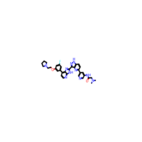 CN(C)CC(=O)Nc1cncc(-c2ccc3[nH]nc(-c4nc5c(-c6cc(F)cc(OCCN7CCCC7)c6)ccnc5[nH]4)c3n2)c1